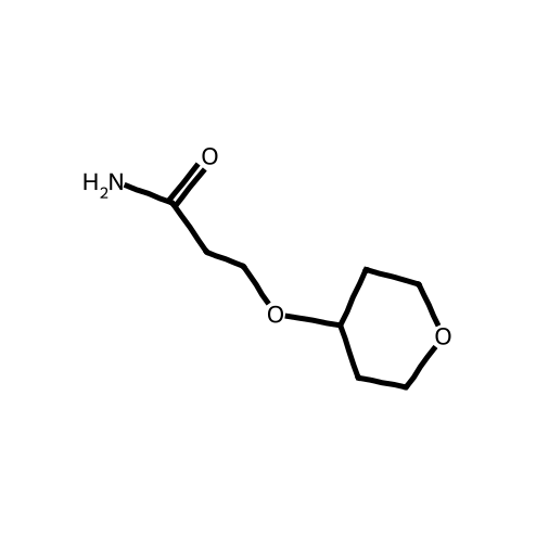 NC(=O)CCOC1CCOCC1